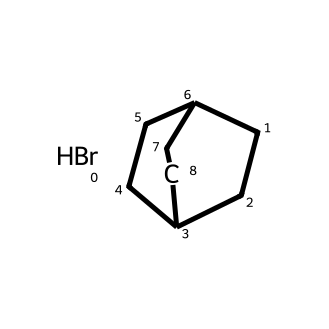 Br.C1CC2CCC1CC2